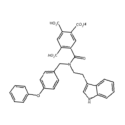 O=C(O)c1cc(C(=O)O)c(C(=O)N(CCc2c[nH]c3ccccc23)Cc2ccc(Oc3ccccc3)cc2)cc1C(=O)O